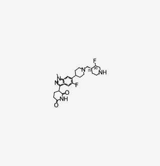 Cn1nc(C2CCC(=O)NC2=O)c2cc(F)c(C3CCN(C[C@@H]4CCNC[C@@H]4F)CC3)cc21